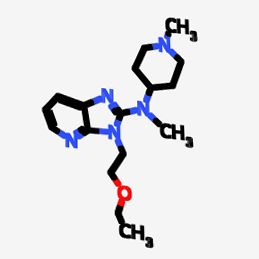 CCOCCn1c(N(C)C2CCN(C)CC2)nc2cccnc21